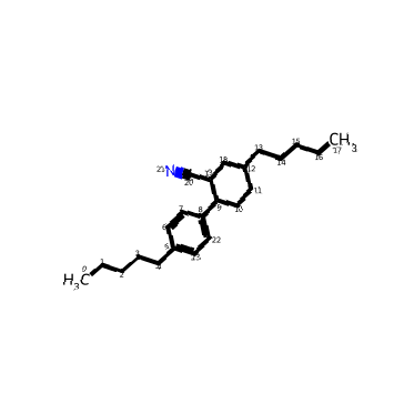 CCCCCc1ccc(C2CCC(CCCCC)CC2C#N)cc1